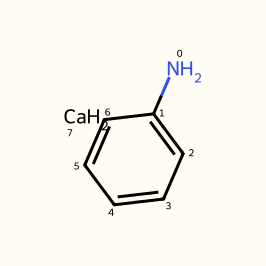 Nc1ccccc1.[CaH2]